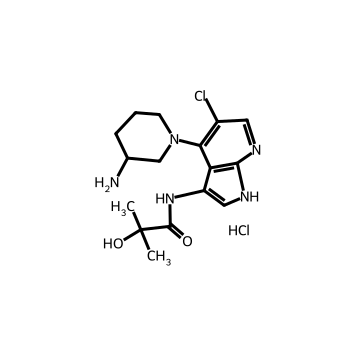 CC(C)(O)C(=O)Nc1c[nH]c2ncc(Cl)c(N3CCCC(N)C3)c12.Cl